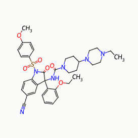 CCOc1ccccc1C1(NC(=O)N2CCC(N3CCN(CC)CC3)CC2)C(=O)N(S(=O)(=O)c2ccc(OC)cc2)c2ccc(C#N)cc21